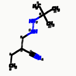 CCC(C#N)CNNC(C)(C)C